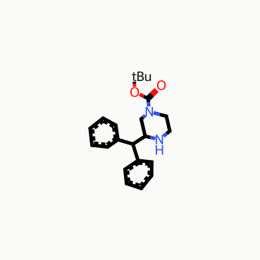 CC(C)(C)OC(=O)N1CCNC(C(c2ccccc2)c2ccccc2)C1